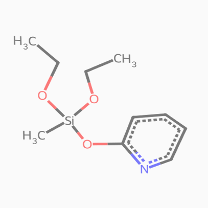 CCO[Si](C)(OCC)Oc1ccccn1